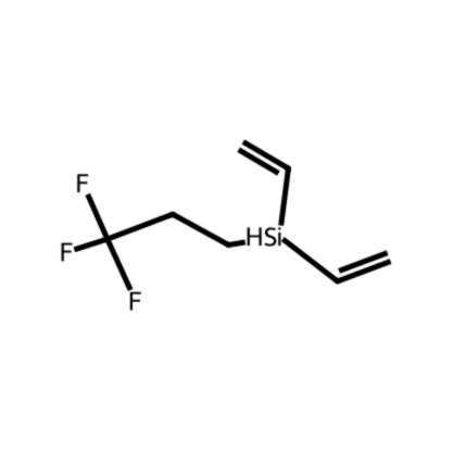 C=C[SiH](C=C)CCC(F)(F)F